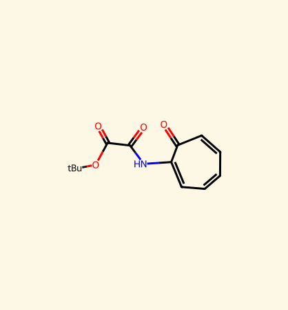 CC(C)(C)OC(=O)C(=O)Nc1cccccc1=O